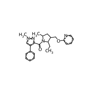 CCC1C(COc2ccccn2)CC(C)N1C(=O)c1nn(C)cc1-c1ccccc1